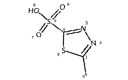 Cc1nnc(S(=O)(=O)O)s1